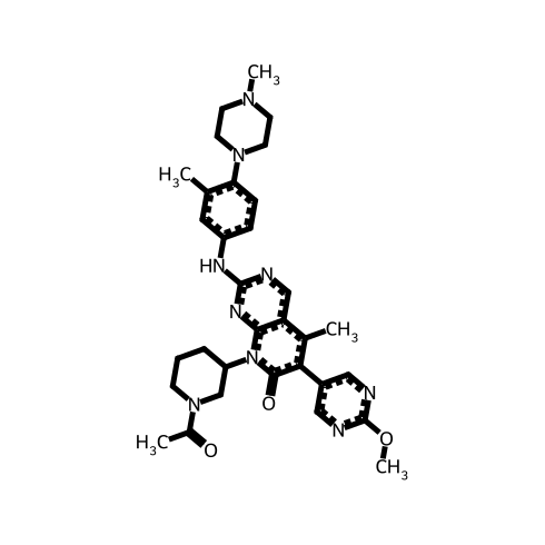 COc1ncc(-c2c(C)c3cnc(Nc4ccc(N5CCN(C)CC5)c(C)c4)nc3n(C3CCCN(C(C)=O)C3)c2=O)cn1